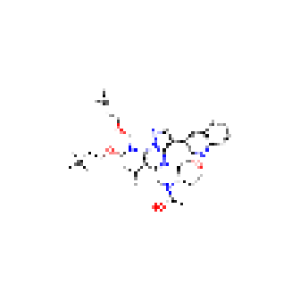 C=C(C)c1c(CN(B(C)O)C2CCOCC2)nc2c(-c3cnc4ccccc4c3)cnn2c1N(COCC[Si](C)(C)C)COCC[Si](C)(C)C